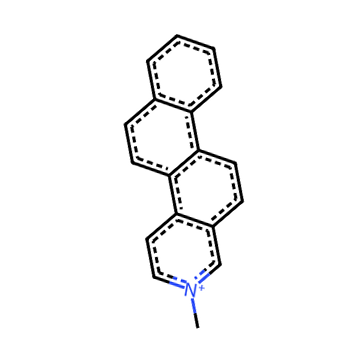 C[n+]1ccc2c(ccc3c4ccccc4ccc23)c1